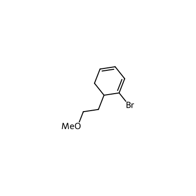 COCCC1CC=CC=C1Br